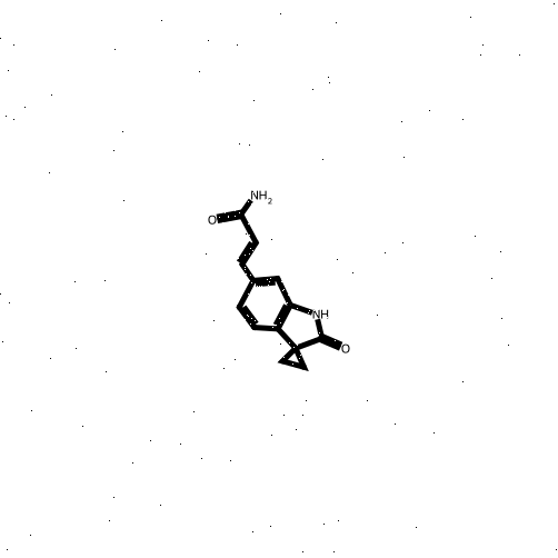 NC(=O)C=Cc1ccc2c(c1)NC(=O)C21CC1